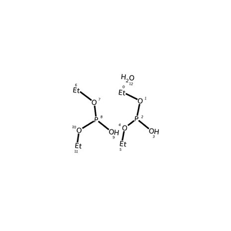 CCOP(O)OCC.CCOP(O)OCC.O